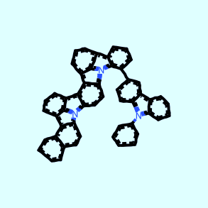 c1ccc(-n2c3ccccc3c3cc(-c4cccc5c6cccc7c8c9c%10cccc%11c%12c%13ccccc%13ccc%12n(c9ccc8n(c45)c67)c%11%10)ccc32)cc1